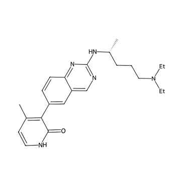 CCN(CC)CCC[C@@H](C)Nc1ncc2cc(-c3c(C)cc[nH]c3=O)ccc2n1